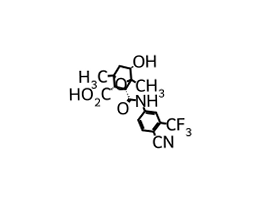 CC12C[C@H](O)C(C)(O1)[C@H](C(=O)Nc1ccc(C#N)c(C(F)(F)F)c1)[C@@H]2C(=O)O